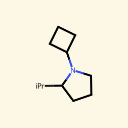 CC(C)C1CCCN1C1CCC1